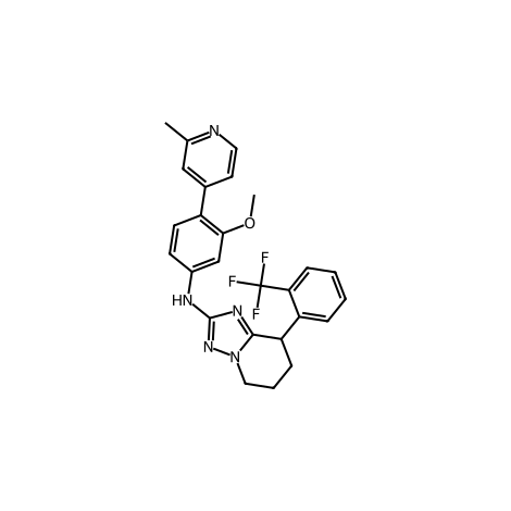 COc1cc(Nc2nc3n(n2)CCCC3c2ccccc2C(F)(F)F)ccc1-c1ccnc(C)c1